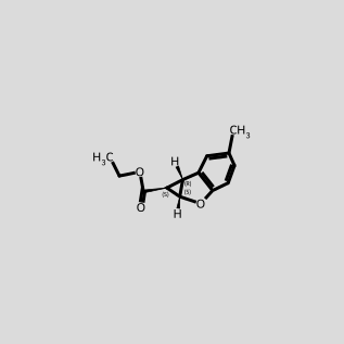 CCOC(=O)[C@@H]1[C@H]2Oc3ccc(C)cc3[C@H]21